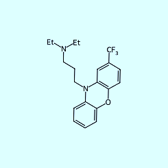 CCN(CC)CCCN1c2ccccc2Oc2ccc(C(F)(F)F)cc21